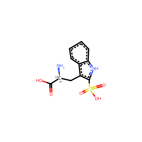 N[13C@@H](Cc1c(S(=O)(=O)O)[nH]c2ccccc12)C(=O)O